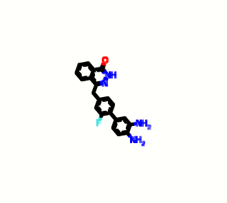 Nc1ccc(-c2ccc(Cc3n[nH]c(=O)c4ccccc34)cc2F)cc1N